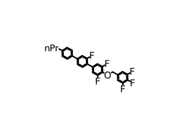 CCCc1ccc(-c2ccc(-c3cc(F)c(OCc4cc(F)c(F)c(F)c4)c(F)c3)c(F)c2)cc1